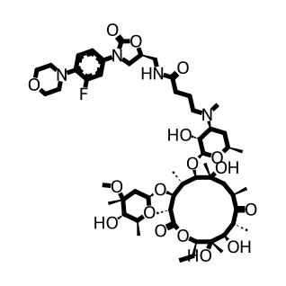 CC[C@H]1OC(=O)[C@H](C)[C@@H](O[C@H]2C[C@@](C)(OC)[C@@H](O)[C@H](C)O2)[C@H](C)[C@@H](O[C@@H]2O[C@H](C)C[C@H](N(C)CCCC(=O)NC[C@H]3CN(c4ccc(N5CCOCC5)c(F)c4)C(=O)O3)[C@H]2O)[C@](C)(O)C[C@@H](C)C(=O)[C@H](C)[C@@H](O)[C@]1(C)O